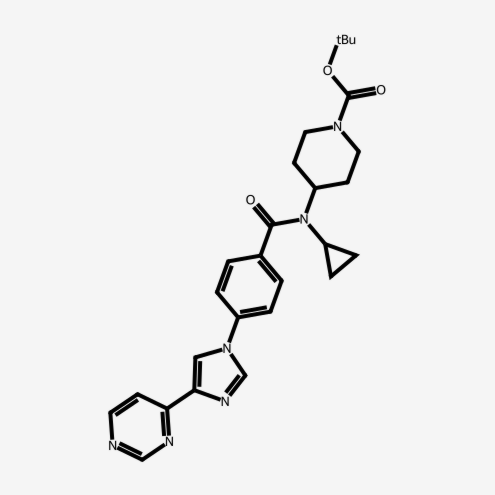 CC(C)(C)OC(=O)N1CCC(N(C(=O)c2ccc(-n3cnc(-c4ccncn4)c3)cc2)C2CC2)CC1